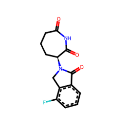 O=C1CCC[C@H](N2Cc3c(F)cccc3C2=O)C(=O)N1